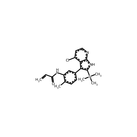 C=CC(=O)Nc1cc(-c2c([Si](C)(C)C)[nH]c3nccc(Cl)c23)ccc1C